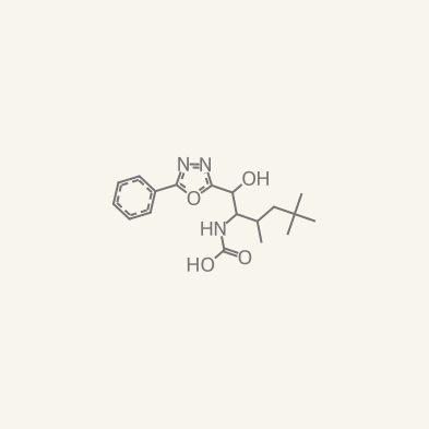 CC(CC(C)(C)C)C(NC(=O)O)C(O)c1nnc(-c2ccccc2)o1